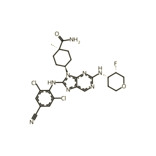 C[C@]1(C(N)=O)CC[C@@H](n2c(Nc3c(Cl)cc(C#N)cc3Cl)nc3cnc(N[C@H]4CCOC[C@H]4F)nc32)CC1